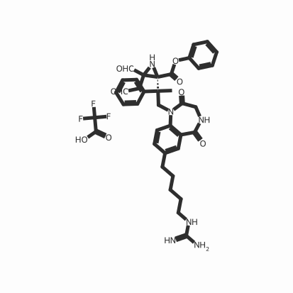 CC(CN1C(=O)CNC(=O)c2cc(CCCCCNC(=N)N)ccc21)(c1ccccc1)[C@@]1(C(=O)Oc2ccccc2)NC1(C=O)CC=O.O=C(O)C(F)(F)F